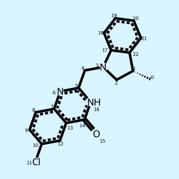 C[C@@H]1CN(Cc2nc3ccc(Cl)cc3c(=O)[nH]2)c2ccccc21